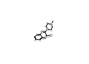 CN1CCN(c2nc3ccccc3nc2Cl)CC1